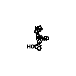 Cc1cccc2cc(O)cc(N3CCc4c(nc(OCC56CCCN5[C@H]5CCC[C@@]5(F)C6)nc4N4CC5CCC(C4)N5)C3)c12